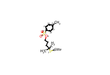 CSSC(C)(C)CCCOS(=O)(=O)c1ccc(C)cc1